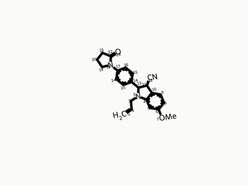 C=CCN1c2cc(OC)ccc2C(C#N)C1c1ccc(N2CCCC2=O)cc1